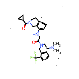 CN(C)CCN(Cc1ccccc1C(F)(F)F)C(=O)CNc1cccc2c1CN(C(=O)C1CC1)CC2